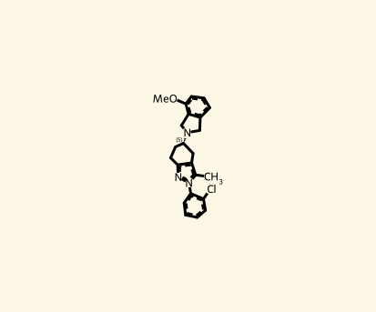 COc1cccc2c1CN([C@H]1CCc3nn(-c4ccccc4Cl)c(C)c3C1)C2